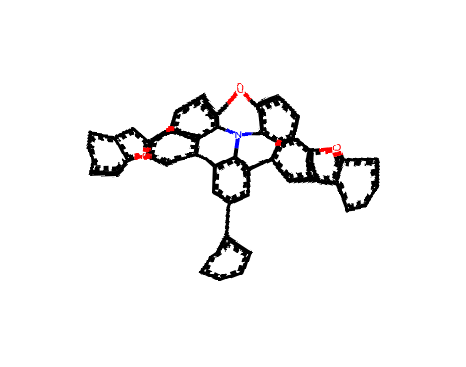 c1ccc(-c2cc(-c3ccccc3)c(N3c4cc(-c5cc6ccccc6o5)ccc4Oc4ccc(-c5cc6ccccc6o5)cc43)c(-c3ccccc3)c2)cc1